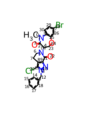 CN1C(=O)[C@@H](N2CCc3c(nn(Cc4ccccc4)c3Cl)C2=O)COc2cc(Br)ccc21